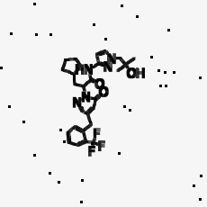 CC(C)(O)Cn1ccc(NC(=O)C(CC2CCCC2)n2ncc(Cc3ccccc3C(F)(F)F)cc2=O)n1